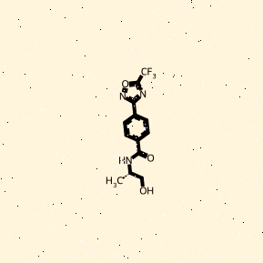 C[C@@H](CO)NC(=O)c1ccc(-c2noc(C(F)(F)F)n2)cc1